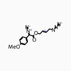 COc1ccc(C(=[N+]=[N-])C(=O)OC/C=C/CN=[N+]=[N-])cc1